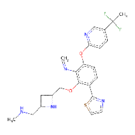 C=Nc1c(Oc2ccc(C(C)(F)F)cn2)ccc(-c2nccs2)c1OCC1CC(CNC)N1